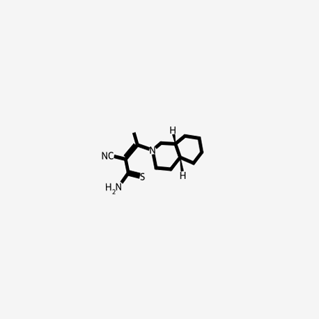 CC(=C(C#N)C(N)=S)N1CC[C@H]2CCCC[C@H]2C1